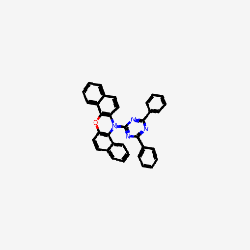 c1ccc(-c2nc(-c3ccccc3)nc(N3c4ccc5ccccc5c4Oc4ccc5ccccc5c43)n2)cc1